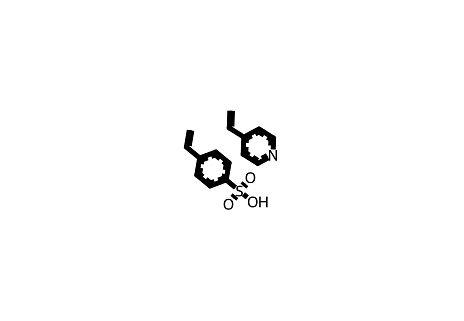 C=Cc1ccc(S(=O)(=O)O)cc1.C=Cc1ccncc1